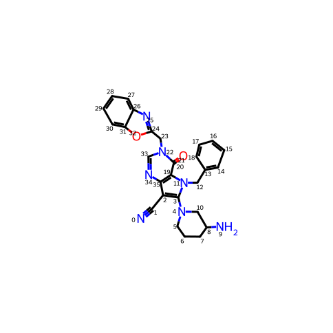 N#Cc1c(N2CCCC(N)C2)n(Cc2ccccc2)c2c(=O)n(Cc3nc4ccccc4o3)cnc12